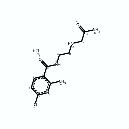 Cc1nc(Cl)ccc1C(=O)NCCNCC(N)=O.Cl